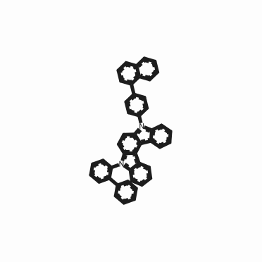 c1ccc(-c2ccccc2-n2c3ccccc3c3c4c5ccccc5n(-c5ccc(-c6cccc7ccccc67)cc5)c4ccc32)cc1